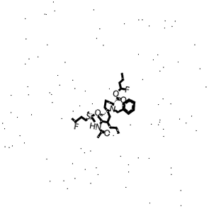 CCCC(F)OC(=O)[C@H]1CC[C@](CO[Si](C)(C)CCC(C)F)(CC(CCC)C(C)NC(C)=O)N1Cc1ccccc1